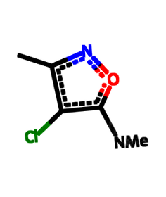 CNc1onc(C)c1Cl